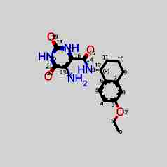 CCOc1ccc2c(c1)CCC[C@H]2NC(=O)c1[nH]c(=O)[nH]c(=O)c1N